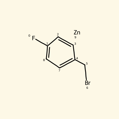 Fc1ccc(CBr)cc1.[Zn]